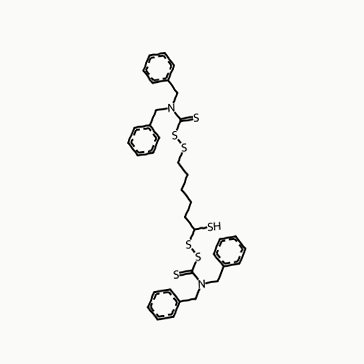 S=C(SSCCCCCC(S)SSC(=S)N(Cc1ccccc1)Cc1ccccc1)N(Cc1ccccc1)Cc1ccccc1